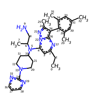 CCc1cc(N(C(C)CN)C2CCN(c3ncccn3)CC2)n2nc(C)c(-c3c(C)cc(C)cc3C)c2n1